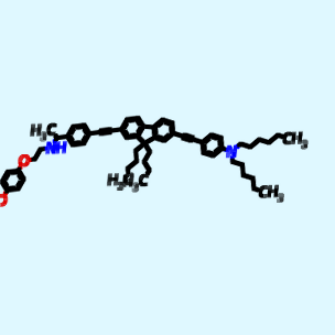 CCCCCCN(CCCCCC)c1ccc(C#Cc2ccc3c(c2)C(CCCC)(CCCC)c2cc(C#Cc4ccc(C(C)NCCOc5ccc(O)cc5)cc4)ccc2-3)cc1